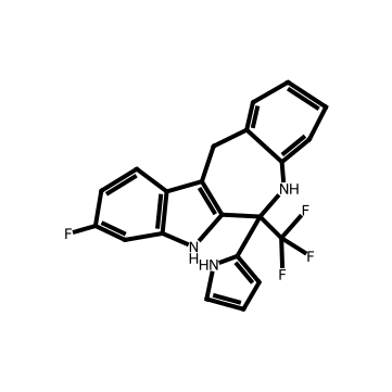 Fc1ccc2c3c([nH]c2c1)C(c1ccc[nH]1)(C(F)(F)F)Nc1ccccc1C3